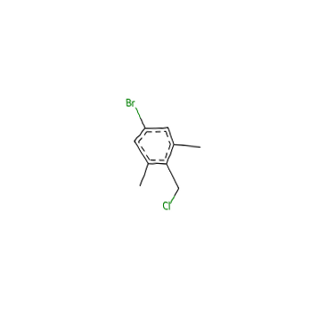 Cc1cc(Br)cc(C)c1CCl